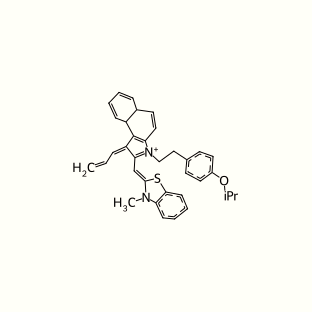 C=C/C=C1/C2=C(C=CC3C=CC=CC23)[N+](CCc2ccc(OC(C)C)cc2)=C1/C=C1\Sc2ccccc2N1C